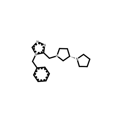 c1ccc(Cn2cnnc2CN2CC[C@H](N3CCCC3)C2)cc1